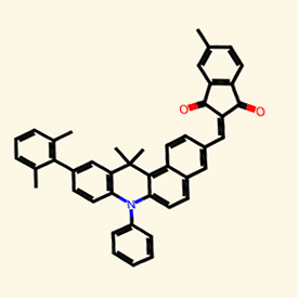 Cc1ccc2c(c1)C(=O)/C(=C\c1ccc3c4c(ccc3c1)N(c1ccccc1)c1ccc(-c3c(C)cccc3C)cc1C4(C)C)C2=O